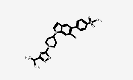 CC(C)c1noc(N2CCC(n3ccc4cc(-c5ccc(S(C)(=O)=O)cc5)c(F)cc43)CC2)n1